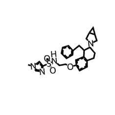 Cn1cnc(S(=O)(=O)NCCOc2ccc3c(c2)C(Cc2ccccc2)C(N2CC4CC4C2)CC3)c1